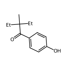 CCC(C)(CC)C(=O)c1ccc(O)cc1